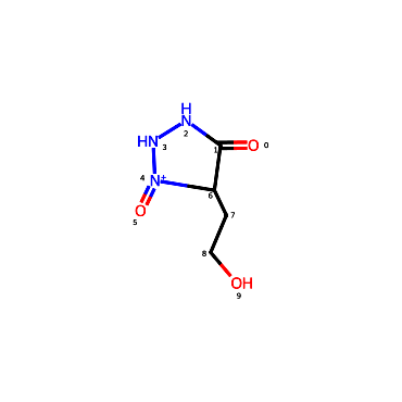 O=C1NN[N+](=O)C1CCO